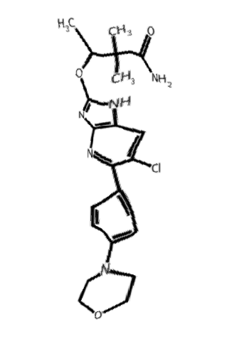 CC(Oc1nc2nc(-c3ccc(N4CCOCC4)cc3)c(Cl)cc2[nH]1)C(C)(C)C(N)=O